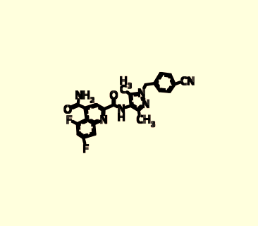 Cc1nn(Cc2ccc(C#N)cc2)c(C)c1NC(=O)c1cc(C(N)=O)c2c(F)cc(F)cc2n1